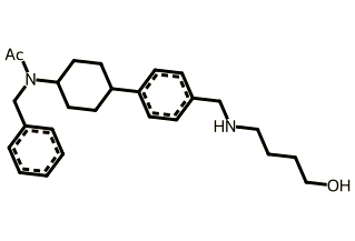 CC(=O)N(Cc1ccccc1)C1CCC(c2ccc(CNCCCCO)cc2)CC1